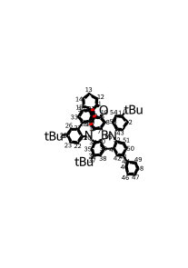 CC(C)(C)c1ccc(N2B3c4cc5oc6ccccc6c5cc4N(c4ccc(C(C)(C)C)cc4-c4ccccc4)c4cc(C(C)(C)C)cc(c43)-c3cc(-c4ccccc4)ccc32)cc1